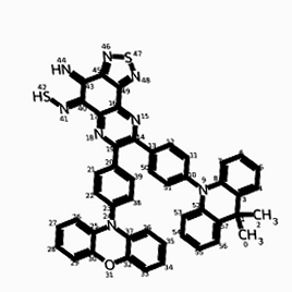 CC1(C)c2ccccc2N(c2ccc(-c3nc4c(nc3-c3ccc(N5c6ccccc6Oc6ccccc65)cc3)/C(=N/S)C(=N)c3nsnc3-4)cc2)c2ccccc21